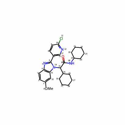 COc1ccc2nc(-c3ccc(Cl)nc3)n(C(C(=O)NC3CCCCC3)C3CCCCC3)c2c1